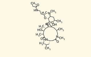 CCC(=O)NCCCO[C@H]1[C@H](O[C@@H]2[C@@H](C)[C@H](O)C(C)C(=O)N[C@@H](CC(C)C)CC(=O)N(C)C[C@H](C)C[C@@]2(C)O)O[C@H](C)C[C@@H]1N(C)C